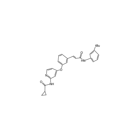 CC(C)(C)c1cccc(NC(=O)/C=C/c2cccc(Oc3ccnc(NC(=O)C4CC4)c3)c2)c1